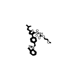 COCCOC(=O)NS(=O)(=O)c1sc(CC(C)C)cc1-c1ccc(Cn2ncc3ccccc32)cc1